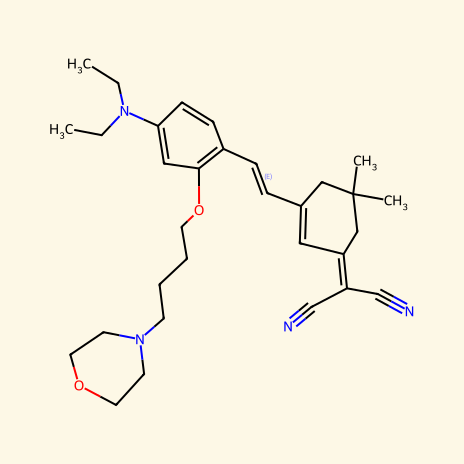 CCN(CC)c1ccc(/C=C/C2=CC(=C(C#N)C#N)CC(C)(C)C2)c(OCCCCN2CCOCC2)c1